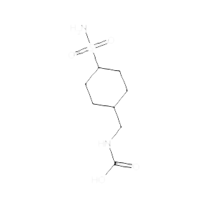 NS(=O)(=O)C1CCC(CNC(=O)O)CC1